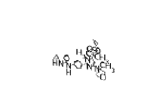 C[C@H]1COCCN1c1cc(C(C)(C)S(=O)(=O)C2CC2)nc(-c2ccc(NC(=O)NC3CC3)cc2)n1